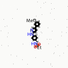 CCS(=O)(=O)NC[C@H]1CC[C@H](Nc2ccc(-c3cccc(OC)c3)cn2)CC1